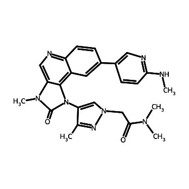 CNc1ccc(-c2ccc3ncc4c(c3c2)n(-c2cn(CC(=O)N(C)C)nc2C)c(=O)n4C)cn1